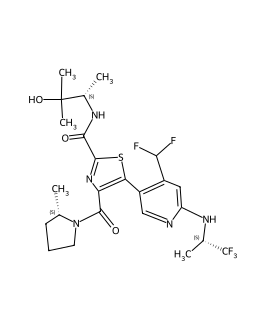 C[C@H](NC(=O)c1nc(C(=O)N2CCC[C@@H]2C)c(-c2cnc(N[C@@H](C)C(F)(F)F)cc2C(F)F)s1)C(C)(C)O